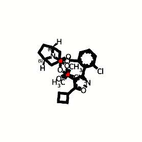 CC(C)(C)OC(=O)N1[C@@H]2CC[C@H]1CC(OC(=O)c1c(-c3c(Cl)cccc3Cl)noc1C1CCC1)C2